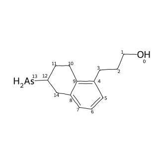 OCCCc1cccc2c1CCC([AsH2])C2